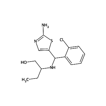 CCC(CO)NC(c1cnc(N)s1)c1ccccc1Cl